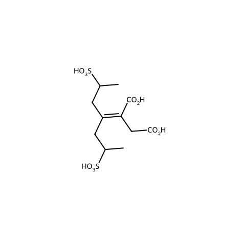 CC(CC(CC(C)S(=O)(=O)O)=C(CC(=O)O)C(=O)O)S(=O)(=O)O